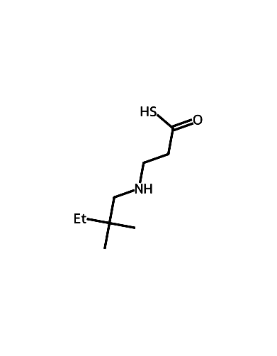 CCC(C)(C)CNCCC(=O)S